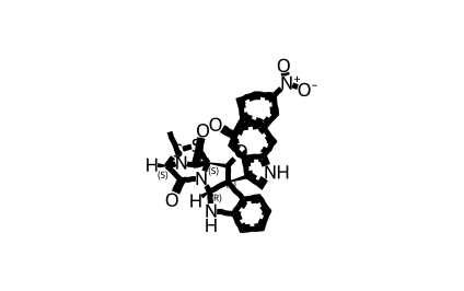 CN1C(=O)[C@]23SS[C@H]1C(=O)N2[C@H]1Nc2ccccc2[C@@]1(c1c[nH]c2ccccc12)C3OC(=O)c1ccc([N+](=O)[O-])cc1